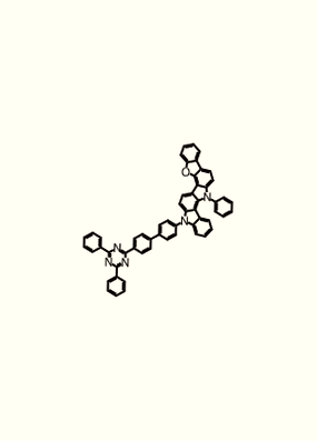 c1ccc(-c2nc(-c3ccccc3)nc(-c3ccc(-c4ccc(-n5c6ccccc6c6c5ccc5c7c8oc9ccccc9c8ccc7n(-c7ccccc7)c56)cc4)cc3)n2)cc1